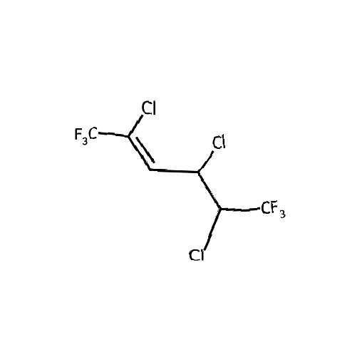 FC(F)(F)C(Cl)=CC(Cl)C(Cl)C(F)(F)F